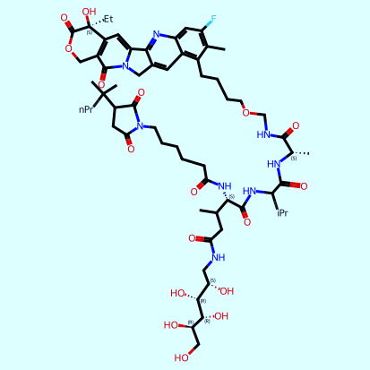 CCCC(C)(C)C1CC(=O)N(CCCCCC(=O)N[C@H](C(=O)NC(C(=O)N[C@@H](C)C(=O)NCOCCCCc2c(C)c(F)cc3nc4c(cc23)Cn2c-4cc3c(c2=O)COC(=O)[C@]3(O)CC)C(C)C)C(C)CC(=O)NC[C@H](O)[C@@H](O)[C@H](O)[C@H](O)CO)C1=O